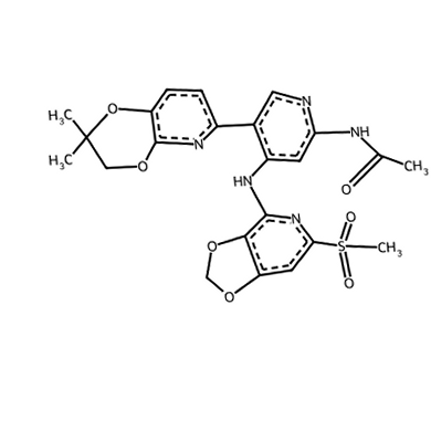 CC(=O)Nc1cc(Nc2nc(S(C)(=O)=O)cc3c2OCO3)c(-c2ccc3c(n2)OCC(C)(C)O3)cn1